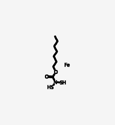 CCCCCCCOC(=O)N(S)S.[Fe]